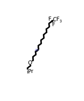 CC(C)CCOCCC/C=C/CCCCCCCCCC(F)(F)C(F)(F)F